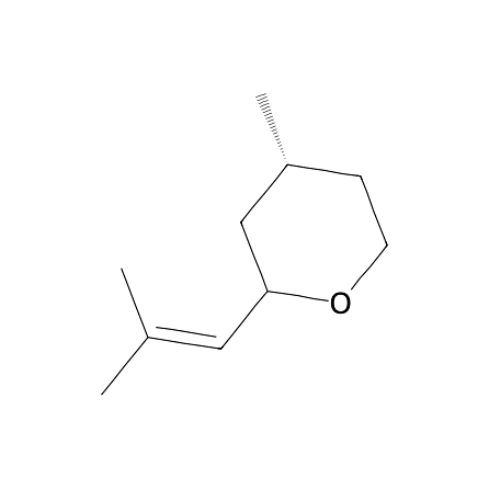 CC(C)=CC1C[C@H](C)CCO1